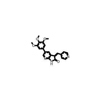 COc1cc(-c2cnc3c(c2)C(=Cc2ccncc2)C(=O)N3)cc(OC)c1OC